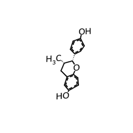 C[C@H]1Cc2cc(O)ccc2O[C@H]1c1ccc(O)cc1